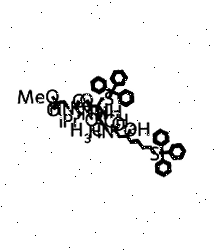 COC(=O)CNC(=O)C(NC(=O)C(CSC(c1ccccc1)(c1ccccc1)c1ccccc1)NC(=O)C(C)(C)NC(=O)CC(O)C=CCCSC(c1ccccc1)(c1ccccc1)c1ccccc1)C(C)C